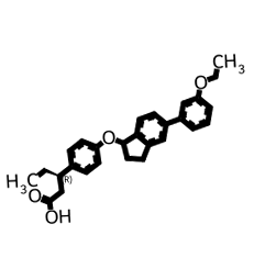 CCOc1cccc(-c2ccc3c(c2)CCC3Oc2ccc([C@H](CC)CC(=O)O)cc2)c1